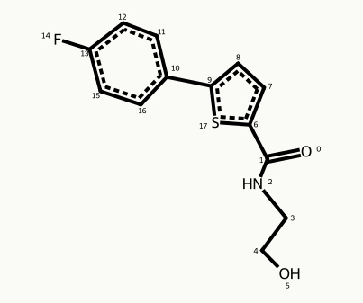 O=C(NCCO)c1ccc(-c2ccc(F)cc2)s1